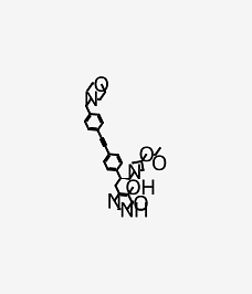 CC(=O)OC1CN(C[C@@H](Cc2nc[nH]c(=O)c2O)c2ccc(C#Cc3ccc(CN4CCOCC4)cc3)cc2)C1